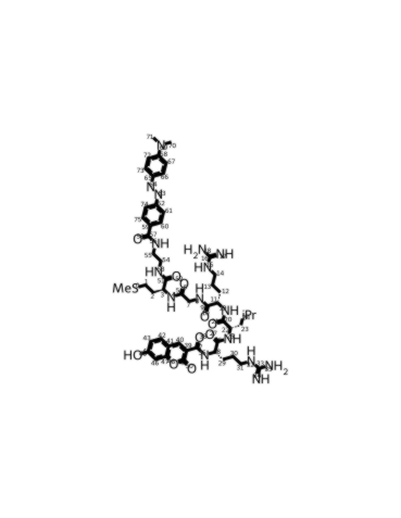 CSCC[C@H](NC(=O)CNC(=O)[C@H](CCCNC(=N)N)NC(=O)[C@H](CC(C)C)NC(=O)[C@H](CCCNC(=N)N)NC(=O)c1cc2ccc(O)cc2oc1=O)C(=O)NCCNC(=O)c1ccc(/N=N/c2ccc(N(C)C)cc2)cc1